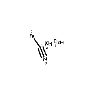 N#[C][Fe].[CsH].[KH]